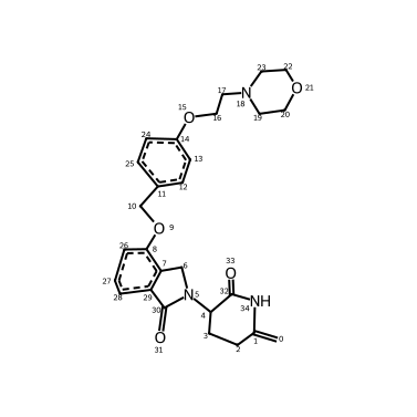 C=C1CCC(N2Cc3c(OCc4ccc(OCCN5CCOCC5)cc4)cccc3C2=O)C(=O)N1